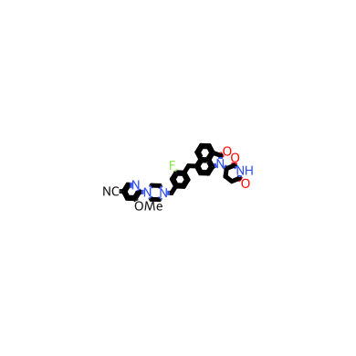 COc1cc(C#N)cnc1N1CCN(Cc2ccc(Cc3ccc4c5c(cccc35)C(=O)N4C3CCC(=O)NC3=O)c(F)c2)CC1